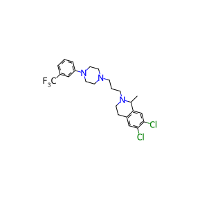 CC1c2cc(Cl)c(Cl)cc2CCN1CCCN1CCN(c2cccc(C(F)(F)F)c2)CC1